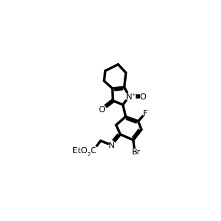 CCOC(=O)CN=C1CC(C2C(=O)C3=C(CCCC3)[N+]2=O)=C(F)C=C1Br